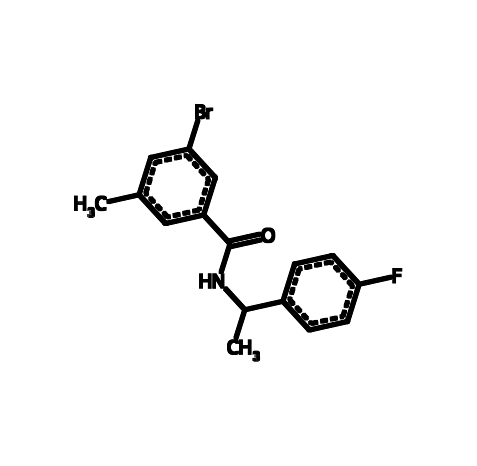 Cc1cc(Br)cc(C(=O)NC(C)c2ccc(F)cc2)c1